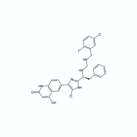 O=c1cc(O)c2cc(-c3nc([C@H](Cc4ccccc4)NCNCc4cc(Cl)ccc4F)[nH]c3Cl)ccc2[nH]1